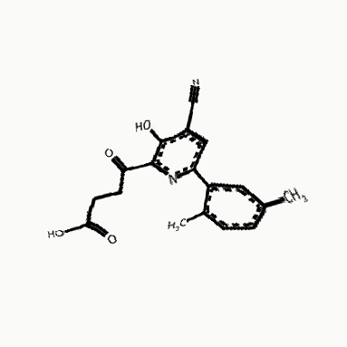 Cc1ccc(C)c(-c2cc(C#N)c(O)c(C(=O)CCC(=O)O)n2)c1